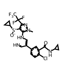 Cn1nc(C(F)(F)C(F)(F)F)c([S+]([O-])C2CC2)c1N/C=C(\C=N)c1ccc(Cl)c(C(=O)NC2CC2)c1